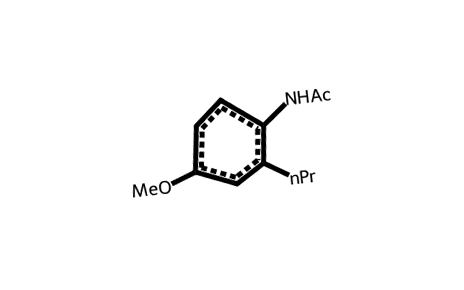 CCCc1cc(OC)ccc1NC(C)=O